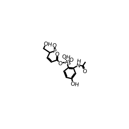 CC(=O)Nc1cc(O)ccc1[As](=O)(O)OC(=O)/C=C\C(CO)P=O